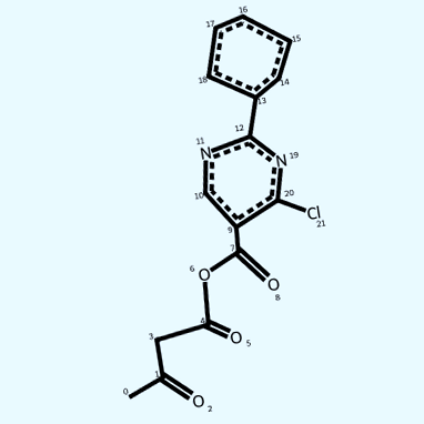 CC(=O)CC(=O)OC(=O)c1cnc(-c2ccccc2)nc1Cl